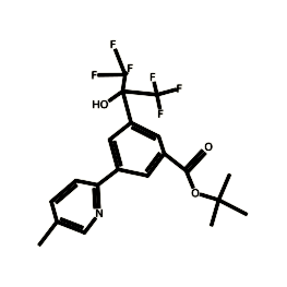 Cc1ccc(-c2cc(C(=O)OC(C)(C)C)cc(C(O)(C(F)(F)F)C(F)(F)F)c2)nc1